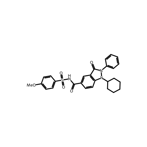 COc1ccc(S(=O)(=O)NC(=O)c2ccc3c(c2)c(=O)n(-c2ccccc2)n3C2CCCCC2)cc1